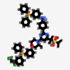 CC(C)S(=O)(=O)C(C)(C)c1cc(N2CCOC[C@@H]2C)nc(-c2ccc(N)cc2)n1.[Cl][Pd][Cl].c1ccc(P(c2ccccc2)c2ccccc2)cc1.c1ccc(P(c2ccccc2)c2ccccc2)cc1